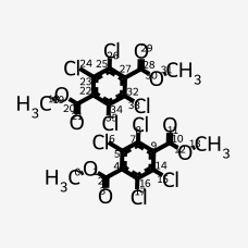 COC(=O)c1c(Cl)c(Cl)c(C(=O)OC)c(Cl)c1Cl.COC(=O)c1c(Cl)c(Cl)c(C(=O)OC)c(Cl)c1Cl